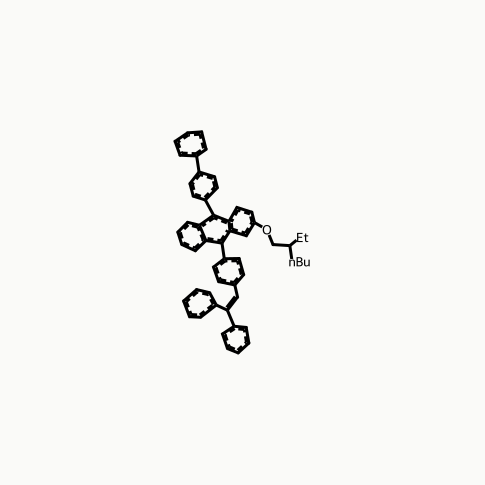 CCCCC(CC)COc1ccc2c(-c3ccc(-c4ccccc4)cc3)c3ccccc3c(-c3ccc(C=C(c4ccccc4)c4ccccc4)cc3)c2c1